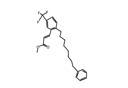 COC(=O)C=Cc1cc(C(F)(F)F)ccc1CCCCCCCCc1ccccc1